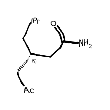 CC(=O)C[C@@H](CC(N)=O)CC(C)C